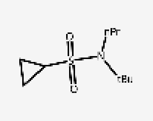 CCCN(C(C)(C)C)S(=O)(=O)C1CC1